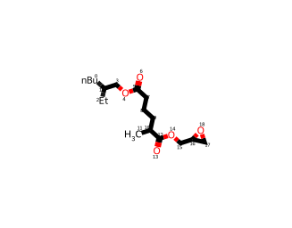 CCCCC(CC)COC(=O)CCCC(C)C(=O)OCC1CO1